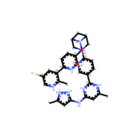 Cc1cc(Nc2cc(C)[nH]n2)nc(-c2ccc(N3CC4CC(C3)N4Cc3ccc(-c4cc(F)cnc4C)nc3)nc2)n1